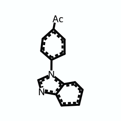 CC(=O)c1ccc(-n2cnc3ccccc32)cc1